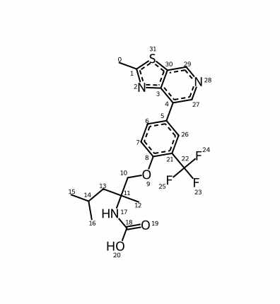 Cc1nc2c(-c3ccc(OCC(C)(CC(C)C)NC(=O)O)c(C(F)(F)F)c3)cncc2s1